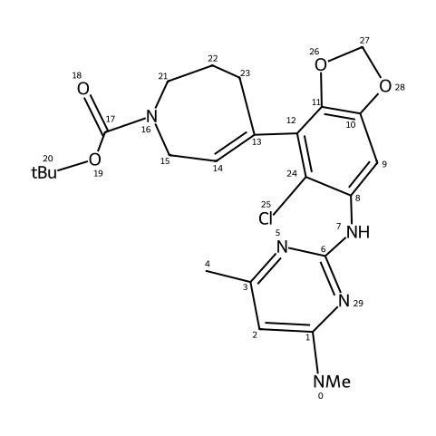 CNc1cc(C)nc(Nc2cc3c(c(C4=CCN(C(=O)OC(C)(C)C)CCC4)c2Cl)OCO3)n1